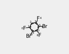 Fc1cc(F)c(Br)c(F)c1Br